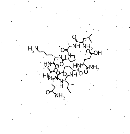 CC[C@H](C)[C@H](NC(=O)[C@H](CCC(N)=O)NC(=O)[C@H](C)NC(=O)[C@H](CCCCN)NC(=O)[C@@H]1CCCN1C(=O)[C@H](C)NC(=O)[C@@H](N)CC(C)C)C(=O)N[C@@H](CCCCN)C(=O)N[C@@H](CCC(=O)O)C(N)=O